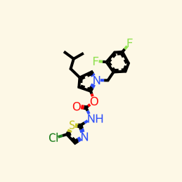 CC(C)Cc1cc(OC(=O)Nc2ncc(Cl)s2)n(Cc2ccc(F)cc2F)c1